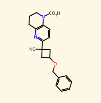 N#CC1(c2ccc3c(n2)CCCN3C(=O)O)CC(OCc2ccccc2)C1